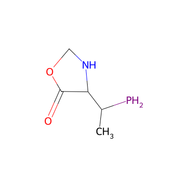 CC(P)C1NCOC1=O